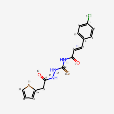 O=C(/C=C/c1ccc(Cl)cc1)NC(=S)NNC(=O)Cc1cccs1